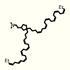 CC/C=C\C/C=C\C/C=C\C/C=C\C/C=C\C/C=C\CCCC1(CCC/C=C\C/C=C\C/C=C\C/C=C\C=C\C/C=C\CC)CCC(CCN(C)C)C1